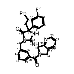 CC(C)CCC1(c2cccc(F)c2)NC(=N)N(Cc2cccc(C(=O)N3Cc4nccnc4C3)c2)C1=O